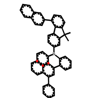 CC1(C)c2cc(N(c3ccccc3)c3ccccc3-c3cc(-c4ccccc4)c4ccccc4c3)ccc2-c2c(-c3ccc4ccccc4c3)cccc21